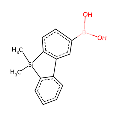 C[Si]1(C)c2ccccc2-c2cc(B(O)O)ccc21